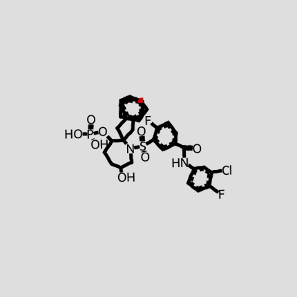 O=C(Nc1ccc(F)c(Cl)c1)c1ccc(F)c(S(=O)(=O)N2CC(O)CCC(OP(=O)(O)O)C2(Cc2ccccc2)Cc2ccccc2)c1